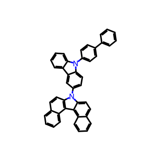 c1ccc(-c2ccc(-n3c4ccccc4c4cc(-n5c6ccc7ccccc7c6c6c7ccccc7ccc65)ccc43)cc2)cc1